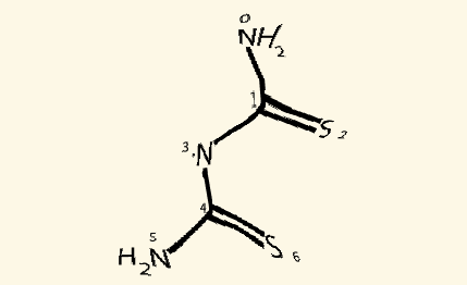 NC(=S)[N]C(N)=S